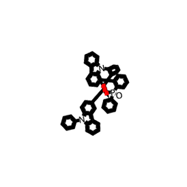 O=P1(c2ccccc2)c2ccccc2C2(c3ccccc3-n3c4ccccc4c4cccc2c43)c2ccc(-c3ccc4c(c3)c3ccccc3n4-c3ccccc3)cc21